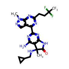 Cn1ncc2c(-c3nc(N)c4c(n3)NC(=O)C4(C)NCC3CC3)nc(CCC(F)(F)C(F)(F)F)nc21